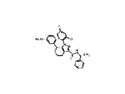 COc1cccc(C2CCCc3c(C(=O)N[C@H](C)c4ccccc4)nn(-c4ccc(F)cc4Cl)c32)c1